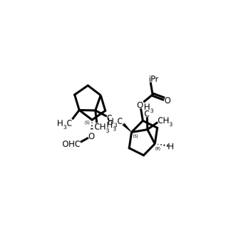 CC(C)C(=O)OC1C[C@H]2CC[C@@]1(C)C2(C)C.CC1(C)C2CCC1(C)[C@@H](OC=O)C2